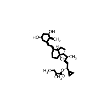 C=C1/C(=C\C=C2/CCC[C@]3(C)[C@@H]([C@H](C)/C=C/[C@@H](OC(=O)C(C)CC)C4CC4)CC[C@@H]23)C[C@@H](O)C[C@@H]1O